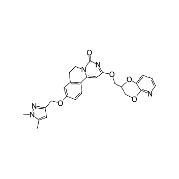 Cc1cc(COc2ccc3c(c2)CCn2c-3cc(OCC3COc4ncccc4O3)nc2=O)nn1C